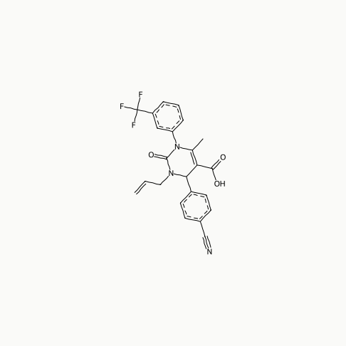 C=CCN1C(=O)N(c2cccc(C(F)(F)F)c2)C(C)=C(C(=O)O)C1c1ccc(C#N)cc1